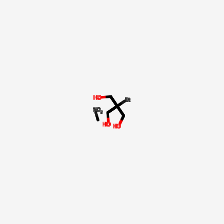 CCC(CO)(CO)CO.C[N+](=O)[O-]